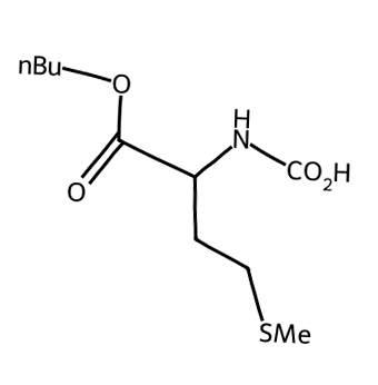 CCCCOC(=O)C(CCSC)NC(=O)O